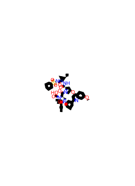 C=C[C@@H]1C[C@]1(NC(=O)[C@@H]1C[C@@H](Oc2cc(-c3ccccc3)nc3cc(OC)ccc23)CN1C(=O)[C@H](CN(C)C(=O)C#CC)N(C(=O)O)C(C)(C)C)C(=O)NS(=O)(=O)c1ccccc1